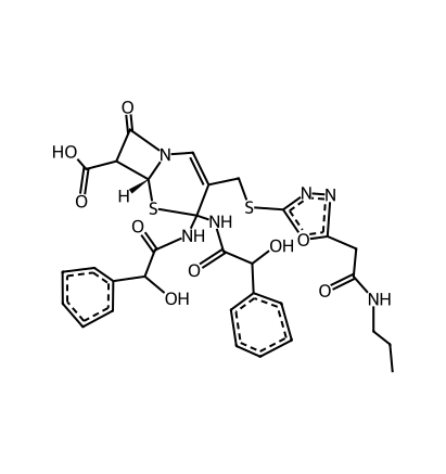 CCCNC(=O)Cc1nnc(SCC2=CN3C(=O)C(C(=O)O)[C@H]3SC2(NC(=O)C(O)c2ccccc2)NC(=O)C(O)c2ccccc2)o1